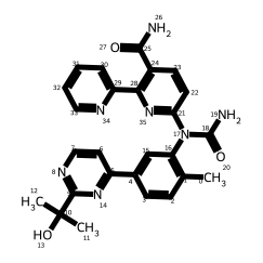 Cc1ccc(-c2ccnc(C(C)(C)O)n2)cc1N(C(N)=O)c1ccc(C(N)=O)c(-c2ccccn2)n1